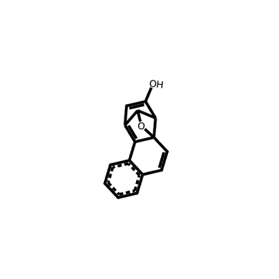 OC1=CC2=C3c4ccccc4C=CC34OC2C14